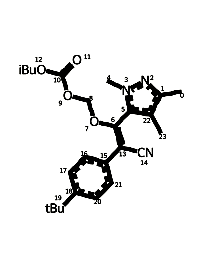 Cc1nn(C)c(/C(OCOC(=O)OCC(C)C)=C(\C#N)c2ccc(C(C)(C)C)cc2)c1C